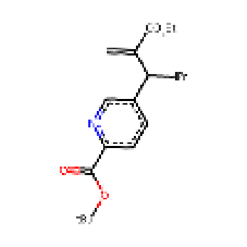 C=C(C(=O)OCC)C(c1ccc(C(=O)OC(C)(C)C)nc1)C(C)C